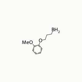 BCCCOc1ccccc1OC